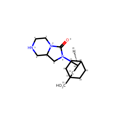 O=C1N2CCNCC2CN1[C@@H]1CC2(C(=O)O)CCC1CC2